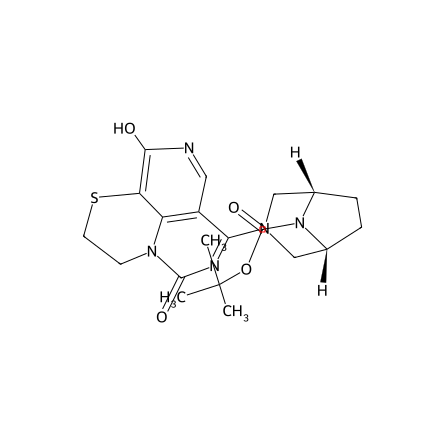 CC(C)(C)OC(=O)N1[C@@H]2CC[C@H]1CN(c1nc(=O)n3c4c(c(O)ncc14)SCC3)C2